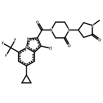 CN1CC(N2CCN(C(=O)c3nn4c(C(F)(F)F)cc(C5CC5)cc4c3Cl)CC2=O)CC1=O